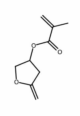 C=C1CC(OC(=O)C(=C)C)CO1